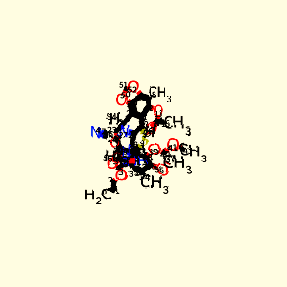 C=CCOC(=O)NC1CS[C@@H]2c3c(OC(C)=O)c(C)c4c(c3[C@H](COC1=O)N1C2[C@H]2c3c(cc(C)c(OC)c3OCOC)C[C@@H]([C@@H]1C#N)N2C)OCO4